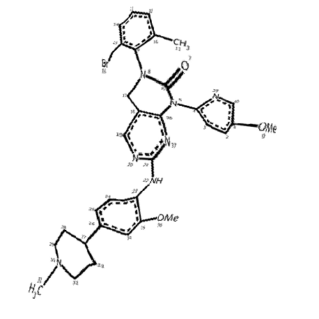 COc1ccc(N2C(=O)N(c3c(C)cccc3Br)Cc3cnc(Nc4ccc(C5CCN(C)CC5)cc4OC)nc32)nc1